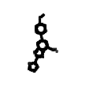 CSc1ccc(-c2cc(N)n3nc(-c4ccco4)nc3c2)cc1